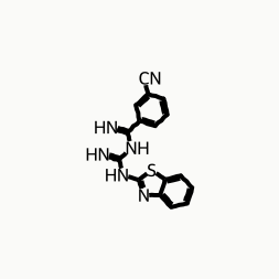 N#Cc1cccc(C(=N)NC(=N)Nc2nc3ccccc3s2)c1